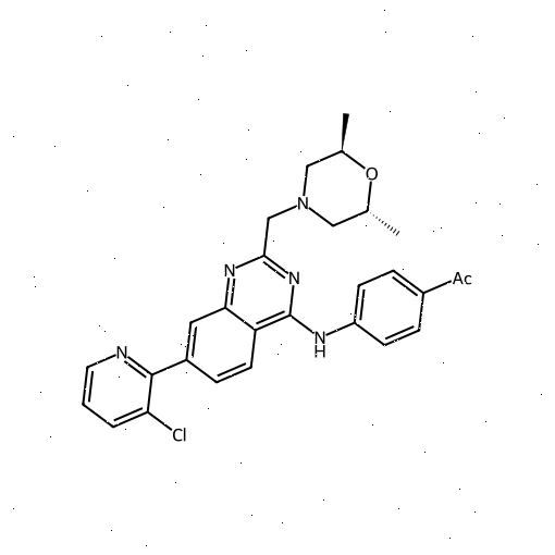 CC(=O)c1ccc(Nc2nc(CN3C[C@@H](C)O[C@H](C)C3)nc3cc(-c4ncccc4Cl)ccc23)cc1